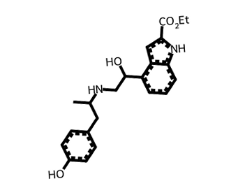 CCOC(=O)c1cc2c(C(O)CNC(C)Cc3ccc(O)cc3)cccc2[nH]1